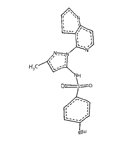 Cc1cc(NS(=O)(=O)c2ccc(C(C)(C)C)cc2)n(-c2nccc3ncccc23)n1